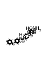 C[C@](O)(NS(=O)(=O)N1CCN(C(=O)Nc2ccc(Oc3ccccc3)cc2)CC1)C(N)=O